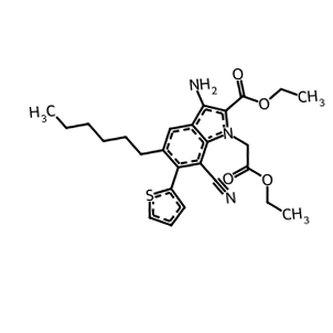 CCCCCCc1cc2c(N)c(C(=O)OCC)n(CC(=O)OCC)c2c(C#N)c1-c1cccs1